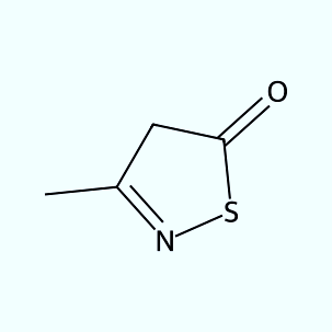 CC1=NSC(=O)C1